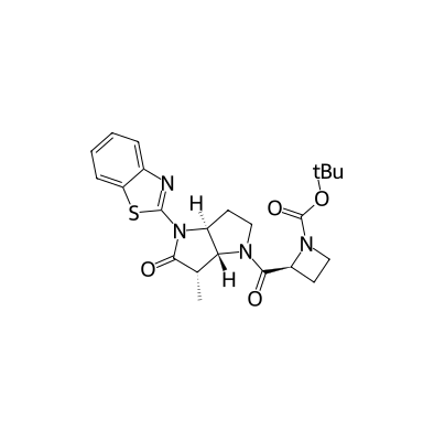 C[C@@H]1C(=O)N(c2nc3ccccc3s2)[C@H]2CCN(C(=O)[C@@H]3CCN3C(=O)OC(C)(C)C)[C@H]12